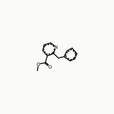 COC(=O)c1cccnc1Cc1ccccc1